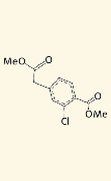 COC(=O)Cc1ccc(C(=O)OC)c(Cl)c1